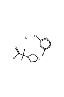 CC(C)(C(=O)[O-])N1CC[C@@H](Oc2cccc(Cl)c2)C1.[Li+]